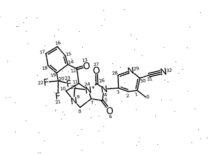 Cc1cc(N2C(=O)C3CN4CC(C(=O)c5ccccc5C(F)(F)F)[N+]3(C4)C2=O)cnc1C#N